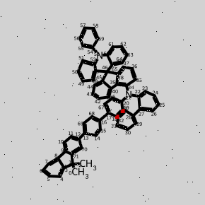 CC1(C)c2ccccc2-c2ccc(-c3ccc(-c4ccc(N(c5ccccc5-c5ccccc5)c5cccc6c5-c5ccccc5C65c6ccccc6N(c6ccccc6)c6ccccc65)cc4)cc3)cc21